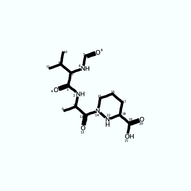 CC(NC(=O)C(NC=O)C(C)C)C(=O)N1CCCC(C(=O)O)N1